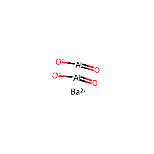 [Ba+2].[O]=[Al][O-].[O]=[Al][O-]